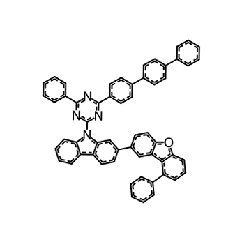 c1ccc(-c2ccc(-c3ccc(-c4nc(-c5ccccc5)nc(-n5c6ccccc6c6ccc(-c7ccc8oc9cccc(-c%10ccccc%10)c9c8c7)cc65)n4)cc3)cc2)cc1